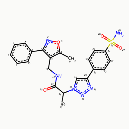 Cc1onc(-c2ccccc2)c1CNC(=O)C(C(C)C)n1cc(-c2ccc(S(N)(=O)=O)cc2)nn1